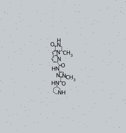 C[C@@H]1CNC(=O)c2cc3ccc(C(=O)Nc4cn(C)c(C(=O)N[C@@H]5CCCNC5)n4)nc3n21